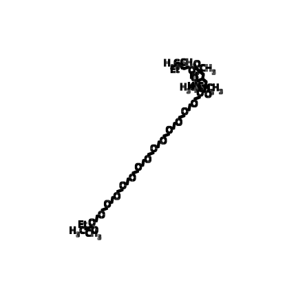 CCC(C)(C)C(=O)OCCOCCOCCOCCOCCOCCOCCOCCOCCOCCOCCOCCOCCOCCOC(=O)C(C)(C)CC(CC(C)(CC)C(=O)OCC[N+](C)(C)CC)C(=O)N(C)C